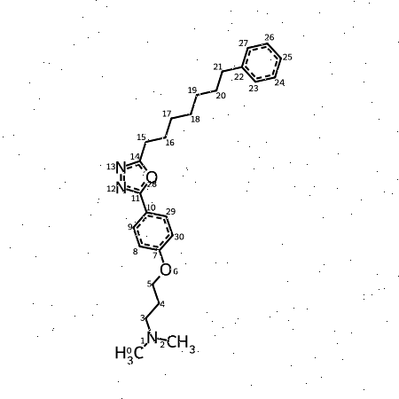 CN(C)CCCOc1ccc(-c2nnc(CCCCCCCc3ccccc3)o2)cc1